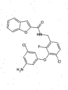 Nc1cc(Cl)cc(Oc2c(Cl)ccc(CNC(=O)c3cc4ccccc4o3)c2F)c1